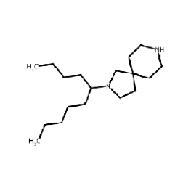 CCCCCC(CCCC)N1CCC2(CCNCC2)C1